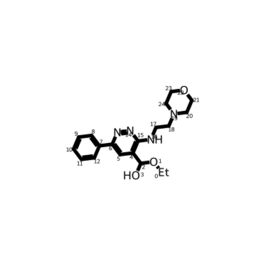 CCOC(O)c1cc(-c2ccccc2)nnc1NCCN1CCOCC1